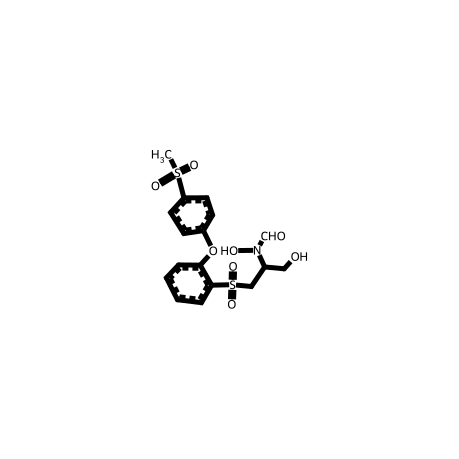 CS(=O)(=O)c1ccc(Oc2ccccc2S(=O)(=O)CC(CO)N(O)C=O)cc1